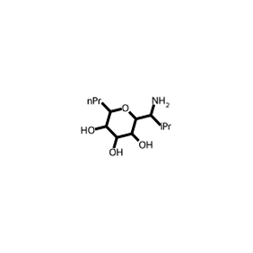 CCCC1OC(C(N)C(C)C)C(O)C(O)C1O